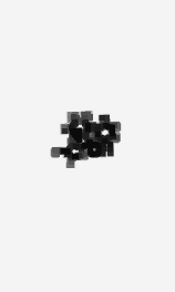 C=C1C=CC(C(O)(c2ccccc2)c2ccccn2)=C1